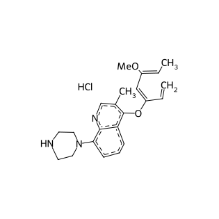 C=CC(=CC(=CC)OC)Oc1c(C)cnc2c(N3CCNCC3)cccc12.Cl